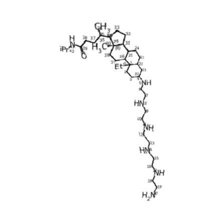 CCC12CC[C@H](NCCNCCNCCNCCNCCN)CC1CCC1C2CC[C@@]2(C)C1CC[C@@H]2[C@H](C)CCC(=O)NC(C)C